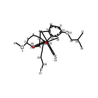 COC1CCC2(CC1)Cc1ccc(OCC(C)C)cc1C21NC(=S)N(CCF)C1=O